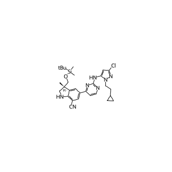 CC(C)(C)[Si](C)(C)OC[C@@]1(C)CNc2c(C#N)cc(-c3ccnc(Nc4cc(Cl)nn4CCC4CC4)n3)cc21